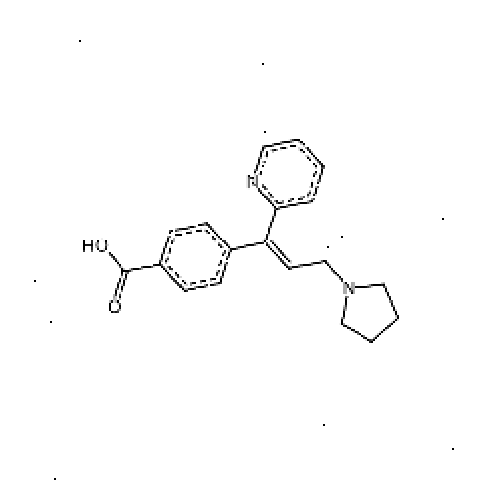 O=C(O)c1ccc(C(=CCN2CCCC2)c2ccccn2)cc1